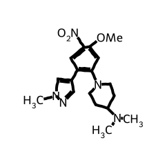 COc1cc(N2CCC(N(C)C)CC2)c(-c2cnn(C)c2)cc1[N+](=O)[O-]